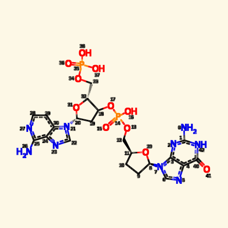 Nc1nc2c(ncn2[C@H]2CC[C@@H](COP(=O)(O)OC3C[C@H](n4cnc5c(N)nccc54)O[C@@H]3COP(=O)(O)O)O2)c(=O)[nH]1